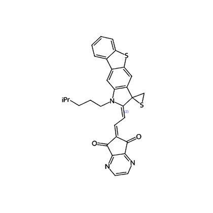 CC(C)CCCN1/C(=C\C=C2C(=O)c3nccnc3C2=O)C2(CS2)c2cc3sc4ccccc4c3cc21